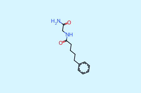 NC(=O)CNC(=O)CCCCc1ccccc1